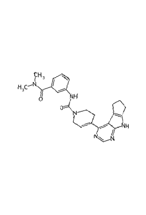 CN(C)C(=O)c1cccc(NC(=O)N2CC=C(c3ncnc4[nH]c5c(c34)CCC5)CC2)c1